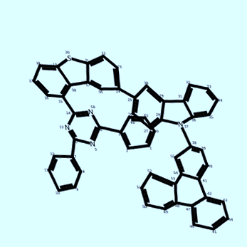 c1ccc(-c2nc(-c3ccccc3)nc(-c3cccc4sc5ccc(-c6ccc7c(c6)c6ccccc6n7-c6ccc7c8ccccc8c8ccccc8c7c6)cc5c34)n2)cc1